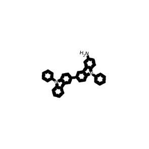 Nc1ccc2c(c1)c1cc(-c3ccc4c(c3)c3ccccc3n4-c3ccccc3)ccc1n2-c1ccccc1